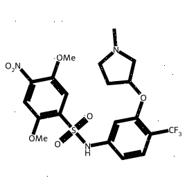 COc1cc(S(=O)(=O)Nc2ccc(C(F)(F)F)c(OC3CCN(C)C3)c2)c(OC)cc1[N+](=O)[O-]